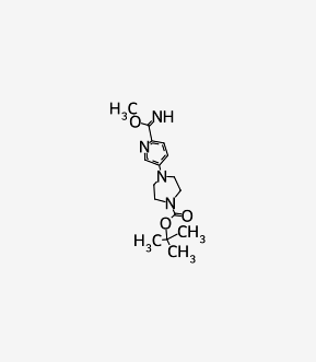 COC(=N)c1ccc(N2CCN(C(=O)OC(C)(C)C)CC2)cn1